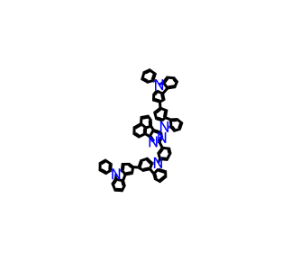 c1ccc(-n2c3ccccc3c3cc(-c4ccc5c(c4)c4ccccc4n5-c4cccc(-c5nc6c(c(-n7c8ccccc8c8cc(-c9ccc%10c(c9)c9ccccc9n%10-c9ccccc9)ccc87)n5)-c5cccc7cccc-6c57)c4)ccc32)cc1